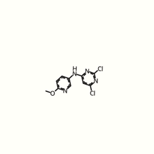 COc1ccc(Nc2cc(Cl)nc(Cl)n2)cn1